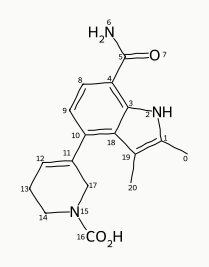 Cc1[nH]c2c(C(N)=O)ccc(C3=CCCN(C(=O)O)C3)c2c1C